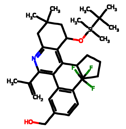 C=C(C)c1nc2c(c(C3CCCC3)c1-c1cc(CO)ccc1C(F)(F)F)C(O[Si](C)(C)C(C)(C)C)CC(C)(C)C2